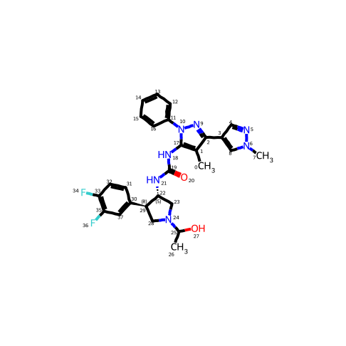 Cc1c(-c2cnn(C)c2)nn(-c2ccccc2)c1NC(=O)N[C@@H]1CN(C(C)O)C[C@H]1c1ccc(F)c(F)c1